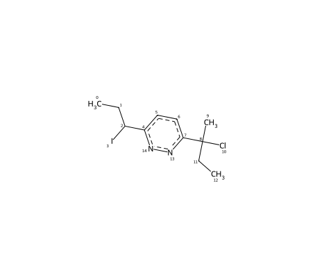 CCC(I)c1ccc(C(C)(Cl)CC)nn1